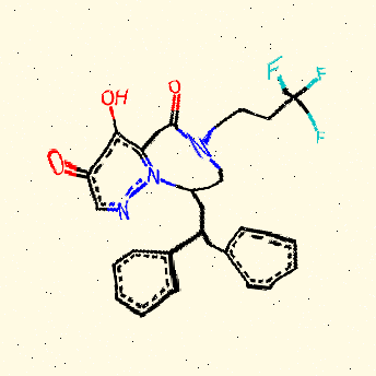 O=C1c2c(O)c(=O)cnn2C(C(c2ccccc2)c2ccccc2)CN1CCC(F)(F)F